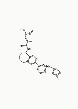 C=NN(/C=C(\C)C(=O)NC1CCCCc2cc(-c3ccnc(Nc4cnn(C)c4)c3)ncc21)C(C)(C)C